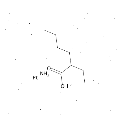 CCCCC(CC)C(=O)O.N.[Pt]